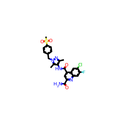 Cc1nn(Cc2ccc(S(C)(=O)=O)cc2)c(C)c1NC(=O)c1cc(C(N)=O)nc2cc(F)c(Cl)cc12